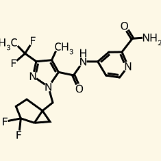 Cc1c(C(C)(F)F)nn(CC23CCC(F)(F)C2C3)c1C(=O)Nc1ccnc(C(N)=O)c1